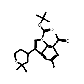 CC(=O)c1cc(Br)cc2c(C3CCSC(C)(C)C3)cn(C(=O)OC(C)(C)C)c12